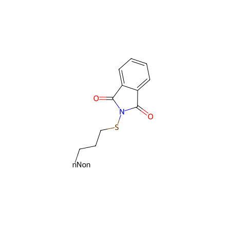 CCCCCCCCCCCCSN1C(=O)c2ccccc2C1=O